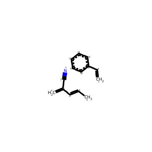 C=C(C#N)C=CC.C=Cc1ccccc1